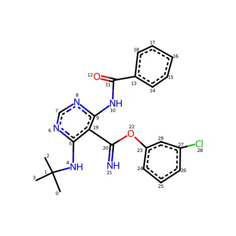 CC(C)(C)Nc1ncnc(NC(=O)c2ccccc2)c1C(=N)Oc1cccc(Cl)c1